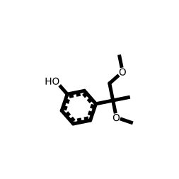 COCC(C)(OC)c1cccc(O)c1